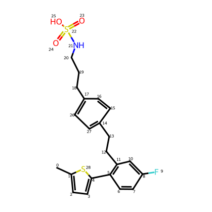 Cc1ccc(-c2ccc(F)cc2CCc2ccc(CCCNS(=O)(=O)O)cc2)s1